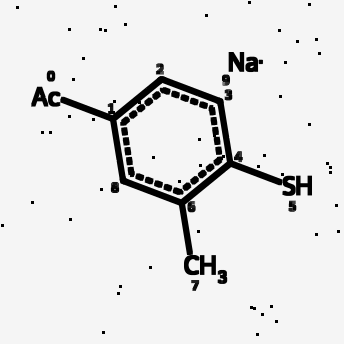 CC(=O)c1ccc(S)c(C)c1.[Na]